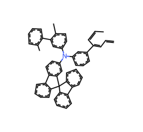 C=C/C=C(\C=C/C)c1cccc(N(c2ccc(C)c(-c3ccccc3C)c2)c2ccc3c(c2)C2(c4ccccc4-c4ccccc42)c2ccccc2-3)c1